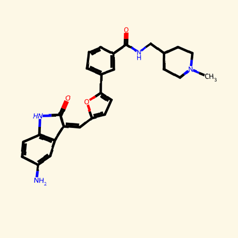 CN1CCC(CNC(=O)c2cccc(-c3ccc(C=C4C(=O)Nc5ccc(N)cc54)o3)c2)CC1